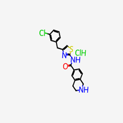 Cl.O=C(Nc1nc(Cc2cccc(Cl)c2)cs1)c1ccc2c(c1)CCNC2